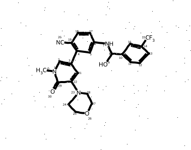 Cn1cc(-c2cc(NC(O)c3cccc(C(F)(F)F)c3)ccc2C#N)cc(N2CCOCC2)c1=O